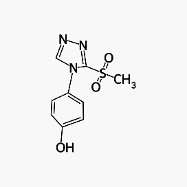 CS(=O)(=O)c1nncn1-c1ccc(O)cc1